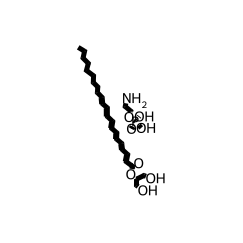 CCCCCCCCCC=CC=CC=CC=CC=CC=CC(=O)OC(CO)CO.NCCOP(=O)(O)O